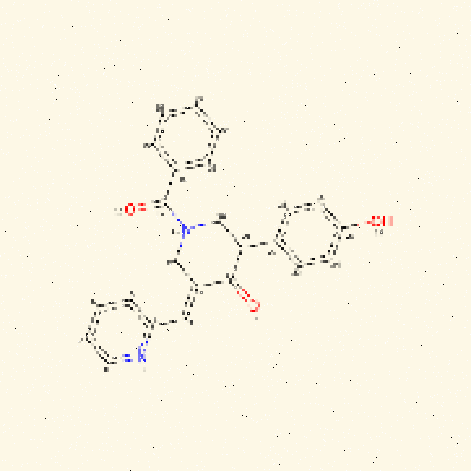 O=C1C(=Cc2ccccn2)CN(C(=O)c2ccccc2)CC1c1ccc(O)cc1